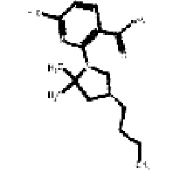 CCCC[C@@H]1CN(c2nc(C)ccc2C(N)=O)C(C)(C)C1